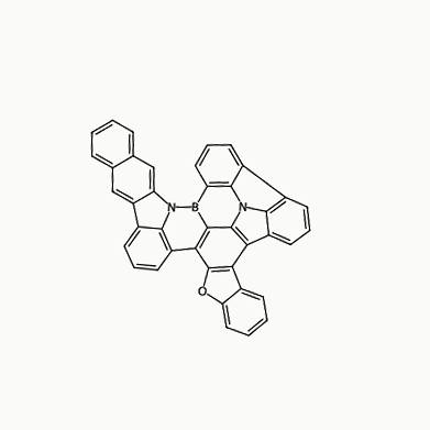 c1ccc2cc3c(cc2c1)c1cccc2c1n3B1c3cccc4c5cccc6c7c8c(oc9ccccc98)c-2c1c7n(c34)c56